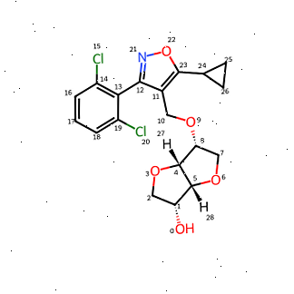 O[C@@H]1CO[C@H]2[C@@H]1OC[C@H]2OCc1c(-c2c(Cl)cccc2Cl)noc1C1CC1